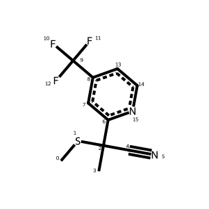 CSC(C)(C#N)c1cc(C(F)(F)F)ccn1